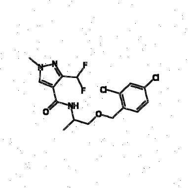 CC(COCc1ccc(Cl)cc1Cl)NC(=O)c1cn(C)nc1C(F)F